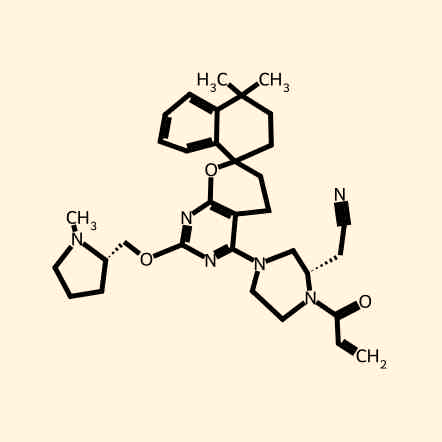 C=CC(=O)N1CCN(c2nc(OC[C@@H]3CCCN3C)nc3c2CCC2(CCC(C)(C)c4ccccc42)O3)C[C@@H]1CC#N